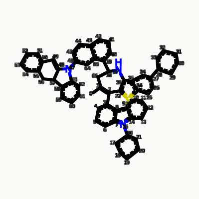 CC1=C(c2cccc3c2c2ccccc2n3-c2ccccc2)c2sc3ccc(-c4ccccc4)cc3c2NC(c2cccc3ccc(N4C5=Cc6ccccc6CC5c5ccccc54)cc23)C1